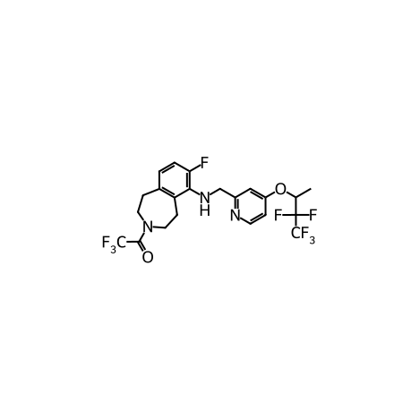 CC(Oc1ccnc(CNc2c(F)ccc3c2CCN(C(=O)C(F)(F)F)CC3)c1)C(F)(F)C(F)(F)F